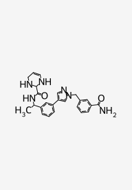 CC(NC(=O)C1NC=CCN1)c1cccc(-c2cnn(Cc3cccc(C(N)=O)c3)c2)c1